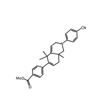 COC(=O)c1ccc(C2=CCC3(C)CN(c4ccc(C#N)cc4)CC=C3C2(C)C)cc1